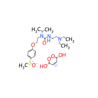 CCN(CC)CCNC(=O)N(CCOc1ccc([S+](C)[O-])cc1)C(C)C.O=C(O)/C=C\C(=O)O